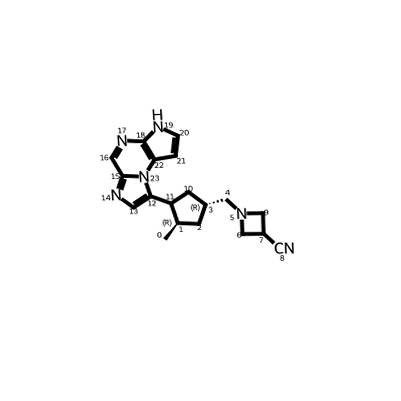 C[C@@H]1C[C@@H](CN2CC(C#N)C2)CC1c1cnc2cnc3[nH]ccc3n12